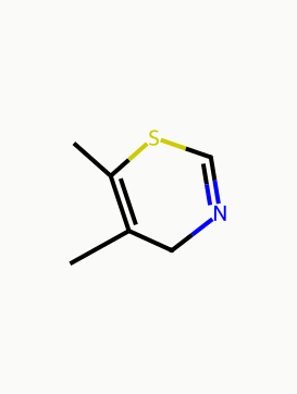 CC1=C(C)SC=NC1